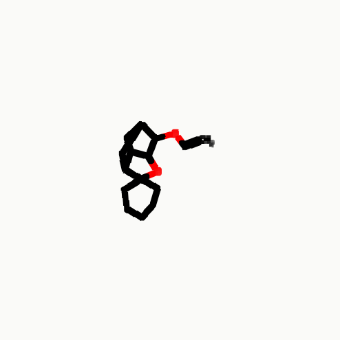 C=COC1C2CC3C1OC1(CCCCC1)C3C2